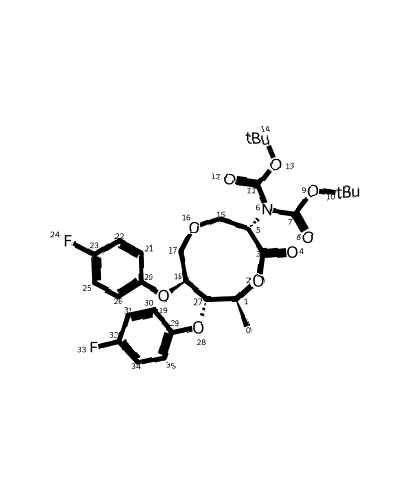 C[C@@H]1OC(=O)[C@@H](N(C(=O)OC(C)(C)C)C(=O)OC(C)(C)C)COC[C@H](Oc2ccc(F)cc2)[C@H]1Oc1ccc(F)cc1